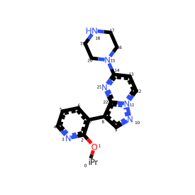 CC(C)Oc1ncccc1-c1cnn2ccc(N3CCNCC3)nc12